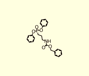 O=C(NCCCP(=O)(Oc1ccccc1)Oc1ccccc1)OCc1ccccc1